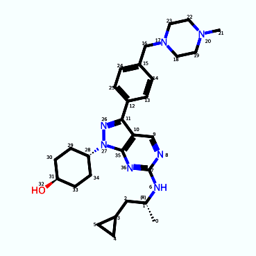 C[C@H](CC1CC1)Nc1ncc2c(-c3ccc(CN4CCN(C)CC4)cc3)nn([C@H]3CC[C@H](O)CC3)c2n1